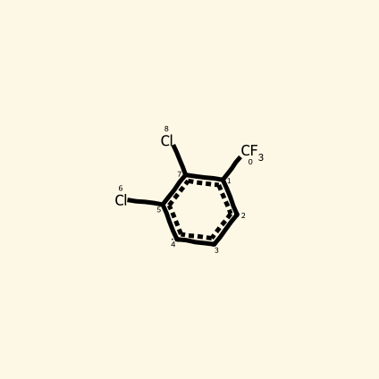 FC(F)(F)c1cc[c]c(Cl)c1Cl